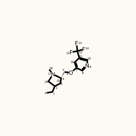 CCC1C[C@@H](COc2cncc(C(F)(F)F)c2)N(C)C1